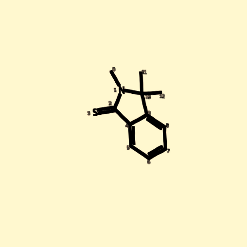 CN1C(=S)c2ccccc2C1(C)C